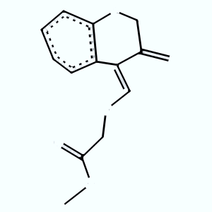 C=C1CSc2ccccc2/C1=C\OCC(=O)OC